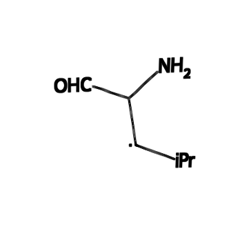 CC(C)[CH]C(N)C=O